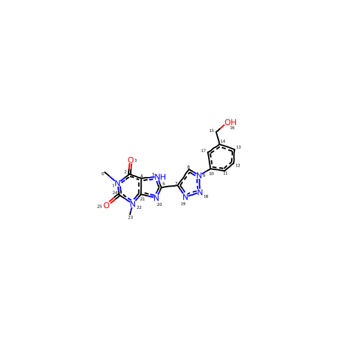 Cn1c(=O)c2[nH]c(-c3cn(-c4cccc(CO)c4)nn3)nc2n(C)c1=O